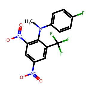 CN(c1ccc(F)cc1)c1c([N+](=O)[O-])cc([N+](=O)[O-])cc1C(F)(F)F